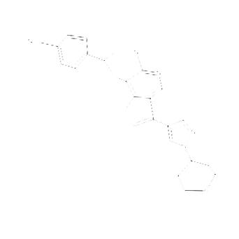 CC(Oc1c(N)ncc2c(-c3cnn(C4CCNCC4)c3)coc12)c1ccc(C#N)cc1